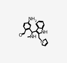 CNC(c1cc(N)ccc1C=O)c1c(CN2CC=CC2)[nH]c2ccccc12